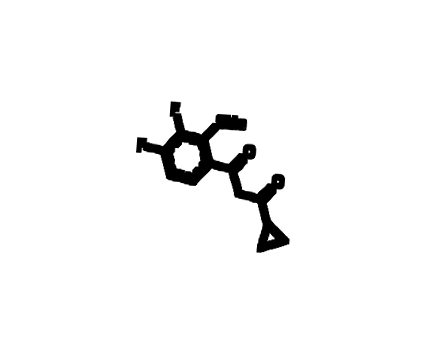 CSc1c(C(=O)CC(=O)C2CC2)ccc(F)c1F